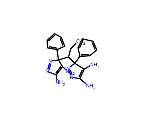 CCC(C1(c2ccccc2)N=NC(N)=C1N)C1(c2ccccc2)N=NC(N)=C1N